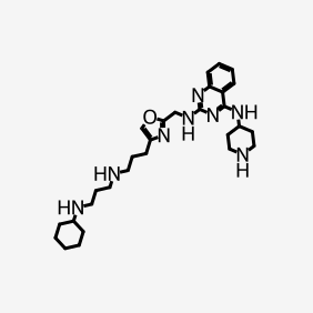 c1ccc2c(NC3CCNCC3)nc(NCc3nc(CCCNCCCNC4CCCCC4)co3)nc2c1